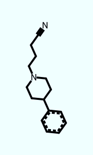 N#CCCCN1CCC(c2ccccc2)CC1